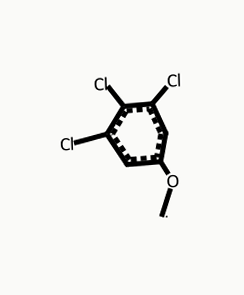 [CH2]Oc1cc(Cl)c(Cl)c(Cl)c1